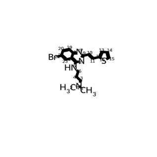 CN(C)CCCNc1nc(C=Cc2cccs2)nc2ccc(Br)cc12